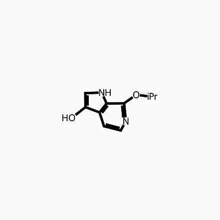 CC(C)Oc1nccc2c(O)c[nH]c12